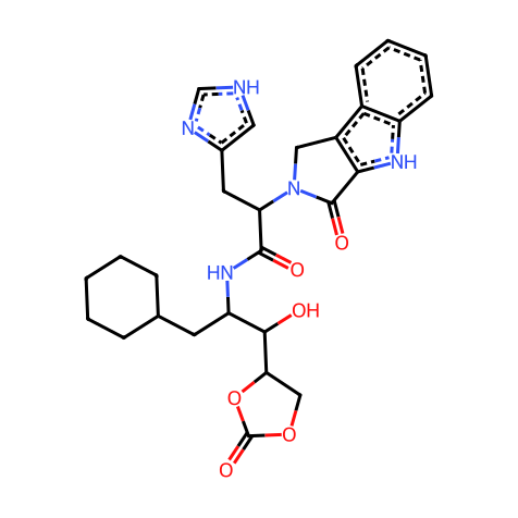 O=C1OCC(C(O)C(CC2CCCCC2)NC(=O)C(Cc2c[nH]cn2)N2Cc3c([nH]c4ccccc34)C2=O)O1